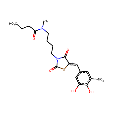 CN(CCCCN1C(=O)S/C(=C\c2cc(O)c(O)c([N+](=O)[O-])c2)C1=O)C(=O)CCC(=O)O